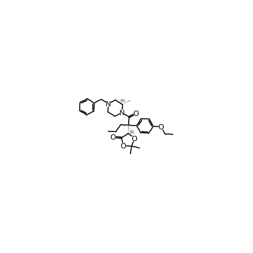 CCCC(C(=O)N1CCN(Cc2ccccc2)C[C@@H]1C)(c1ccc(OCC)cc1)[C@@H]1OC(C)(C)OC1=O